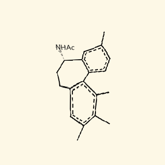 CC(=O)N[C@H]1CCc2cc(C)c(C)c(C)c2-c2ccc(C)cc21